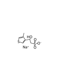 Cc1cscc1C(O)CS(=O)(=O)[O-].[Na+]